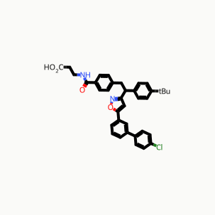 CC(C)(C)c1ccc(C(Cc2ccc(C(=O)NCCC(=O)O)cc2)c2cc(-c3cccc(-c4ccc(Cl)cc4)c3)on2)cc1